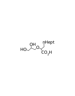 CCCCCCCCC(OCC(O)CO)C(=O)O